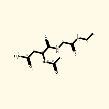 [CH2]CNC(=O)CNC(=O)C(CC(N)=O)NC(C)=O